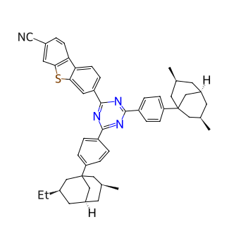 CC[C@@H]1C[C@@H]2C[C@H](C)CC(c3ccc(-c4nc(-c5ccc(C67C[C@H](C)C[C@H](C[C@H](C)C6)C7)cc5)nc(-c5ccc6c(c5)sc5cc(C#N)ccc56)n4)cc3)(C1)C2